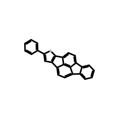 c1ccc(-c2cc3c(s2)-c2ccc4c5c(ccc-3c25)-c2ccccc2-4)cc1